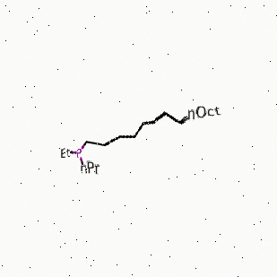 CCCCCCCCCCCCCCCCP(CC)CCC